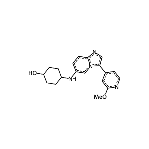 COc1cc(-c2cnc3ccc(NC4CCC(O)CC4)cn23)ccn1